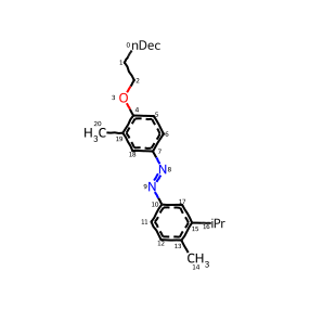 CCCCCCCCCCCCOc1ccc(N=Nc2ccc(C)c(C(C)C)c2)cc1C